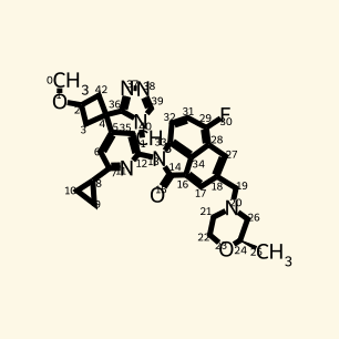 COC1CC(c2cc(C3CC3)nc(N3C(=O)c4cc(CN5CCO[C@H](C)C5)cc5c(F)ccc3c45)c2)(c2nncn2C)C1